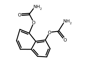 NC(=O)Oc1cccc2cccc(OC(N)=O)c12